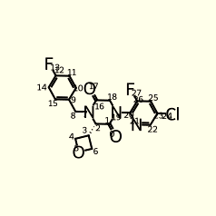 O=C1[C@H](C2COC2)N(Cc2ccc(F)cc2)C(=O)CN1c1ncc(Cl)cc1F